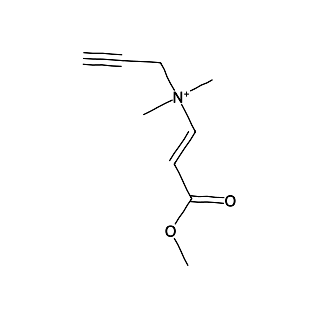 C#CC[N+](C)(C)/C=C/C(=O)OC